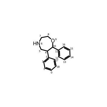 c1ccc(C2CNCCOC2c2ccccc2)cc1